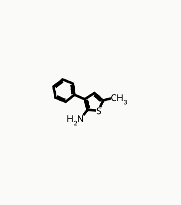 Cc1cc(-c2ccccc2)c(N)s1